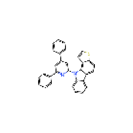 c1ccc(-c2cc(-c3ccccc3)nc(-n3c4ccccc4c4ccc5sccc5c43)c2)cc1